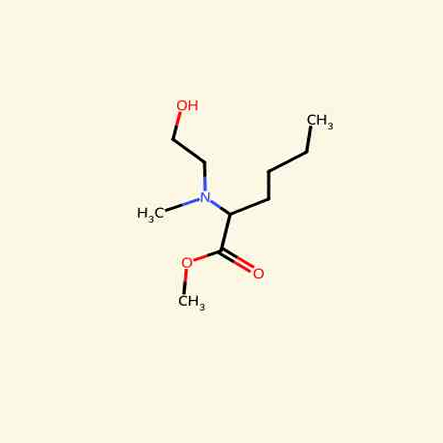 CCCCC(C(=O)OC)N(C)CCO